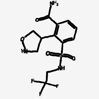 NC(=O)c1cccc(S(=O)(=O)NCC(F)(F)F)c1C1CNOC1